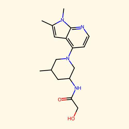 Cc1cc2c(N3CC(C)CC(NC(=O)CO)C3)ccnc2n1C